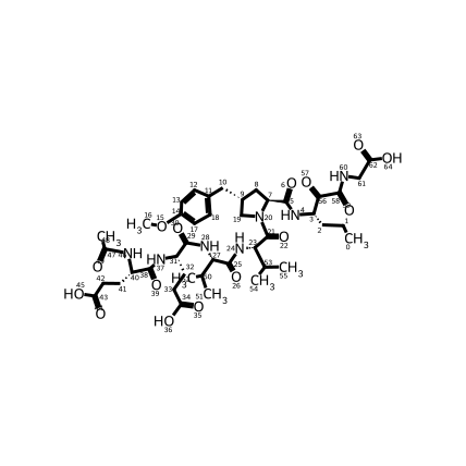 CCC[C@H](NC(=O)[C@@H]1C[C@@H](Cc2ccc(OC)cc2)CN1C(=O)[C@@H](NC(=O)[C@@H](NC(=O)[C@H](CCC(=O)O)NC(=O)[C@H](CCC(=O)O)NC(C)=O)C(C)C)C(C)C)C(=O)C(=O)NCC(=O)O